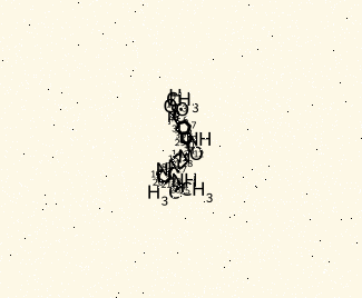 CO[SH](=O)=Nc1ccc2[nH]c(C(=O)N3CCN(c4ncccc4NC(C)C)CC3)cc2c1